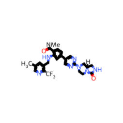 CNC(=O)c1ccc(-c2cnc(N3CCN4C(=O)NC[C@H]4C3)nc2)cc1NCc1cc(C)cnc1C(F)(F)F